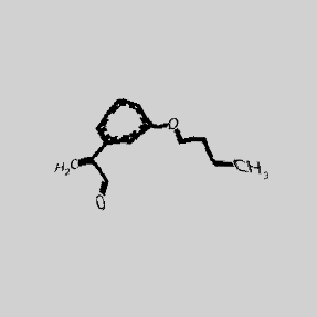 C=C(C=O)c1cccc(OCCCC)c1